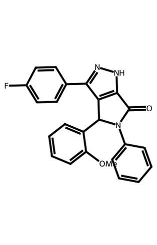 COc1ccccc1C1c2c(-c3ccc(F)cc3)n[nH]c2C(=O)N1c1ccccc1